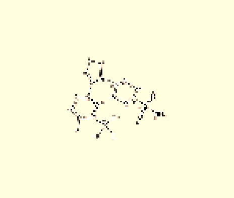 Cc1ccc(C2=CCC=C2c2ccc(S(N)(=O)=O)cc2)cc1C(F)(F)F